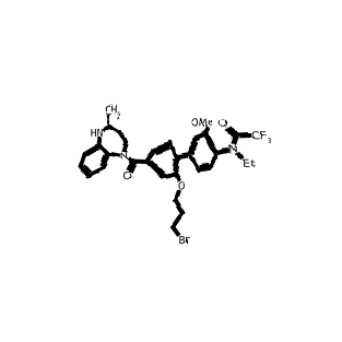 CCN(C(=O)C(F)(F)F)c1ccc(-c2ccc(C(=O)N3CC[C@H](C)Nc4ccccc43)cc2OCCCBr)cc1OC